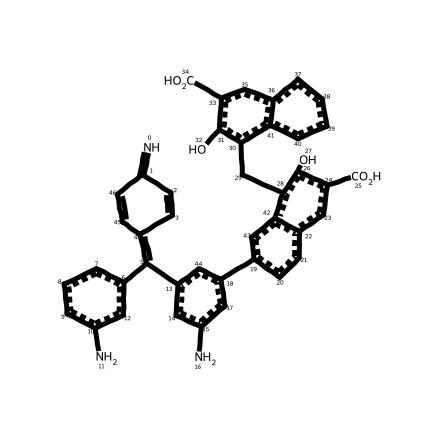 N=C1C=CC(=C(c2cccc(N)c2)c2cc(N)cc(-c3ccc4cc(C(=O)O)c(O)c(Cc5c(O)c(C(=O)O)cc6ccccc56)c4c3)c2)C=C1